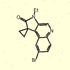 CCN1C(=O)C2(CC2)c2c1cnc1ccc(Br)cc21